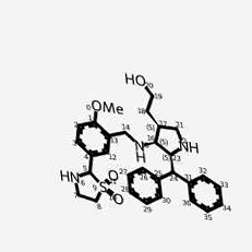 COc1ccc(C2NCCS2(=O)=O)cc1CN[C@H]1[C@@H](CCO)CN[C@H]1C(c1ccccc1)c1ccccc1